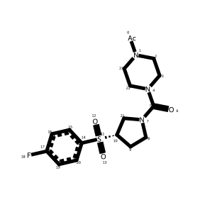 CC(=O)N1CCN(C(=O)N2CC[C@H](S(=O)(=O)c3ccc(F)cc3)C2)CC1